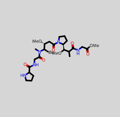 CCC(C)C([C@@H](CC(=O)N1CCC[C@H]1C(OC)C(C)C(=O)NCC(=O)OC)OC)N(C)C(=O)CNC(=O)C1CCCN1